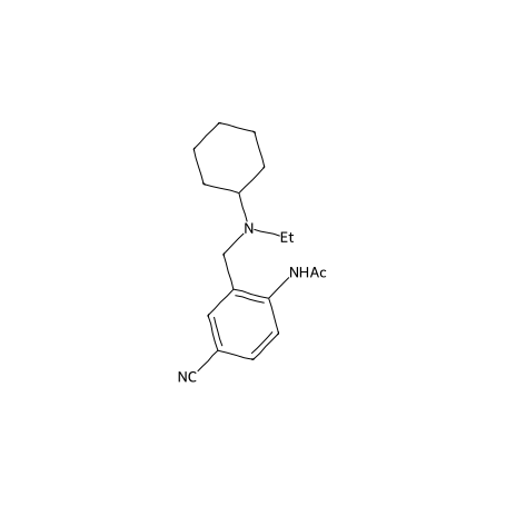 CCN(Cc1cc(C#N)ccc1NC(C)=O)C1CCCCC1